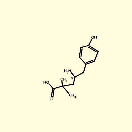 CC(C)(C[C@@H](N)Cc1ccc(O)cc1)C(=O)O